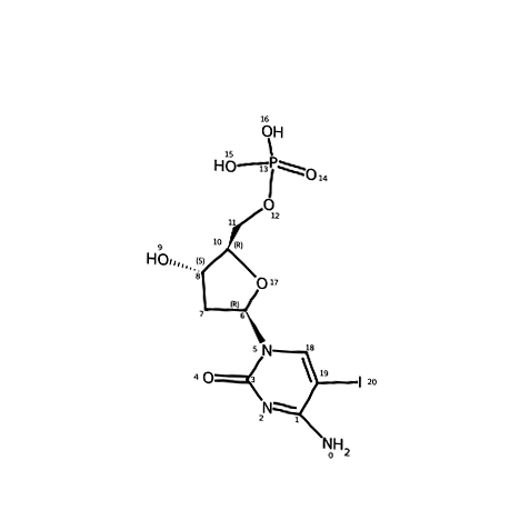 Nc1nc(=O)n([C@H]2C[C@H](O)[C@@H](COP(=O)(O)O)O2)cc1I